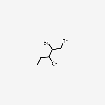 CCC([O])C(Br)CBr